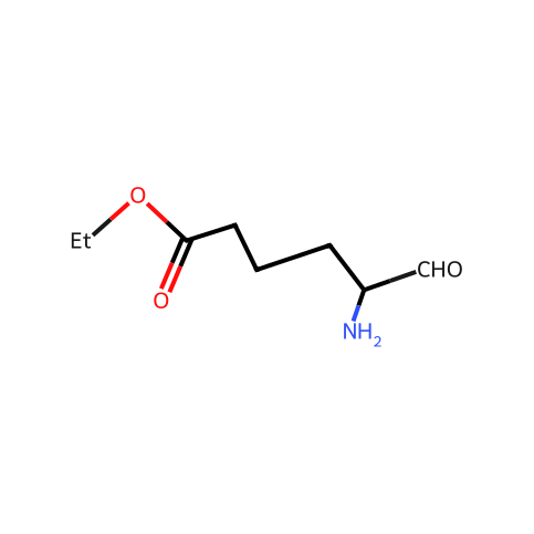 CCOC(=O)CCCC(N)C=O